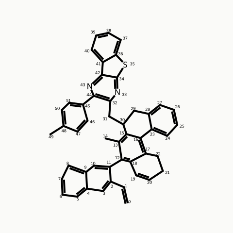 C=Cc1cc2ccccc2cc1-c1c(C)c2c(c3c1C=CCC3)-c1ccccc1CC2Cc1nc2sc3ccccc3c2nc1-c1ccc(C)cc1